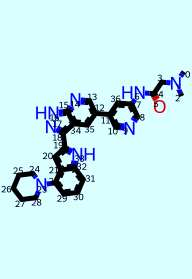 CN(C)CC(=O)Nc1cncc(-c2cnc3[nH]nc(-c4cc5c(N6CCCCC6)cccc5[nH]4)c3c2)c1